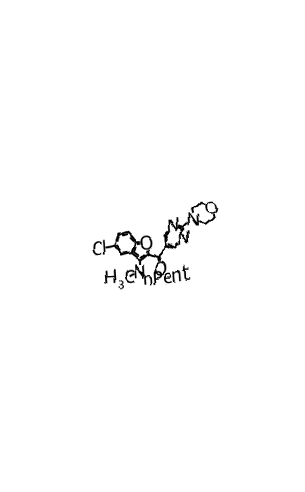 CCCCCN(C)c1c(C(=O)c2cnc(N3CCOCC3)nc2)oc2ccc(Cl)cc12